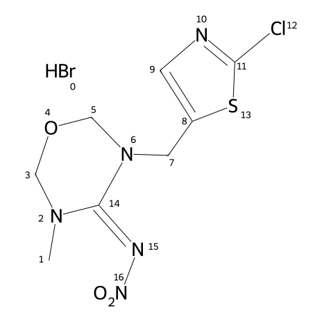 Br.CN1COCN(Cc2cnc(Cl)s2)C1=N[N+](=O)[O-]